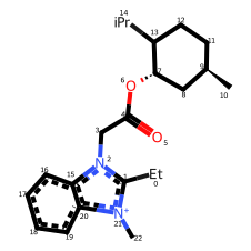 CCc1n(CC(=O)O[C@H]2C[C@H](C)CCC2C(C)C)c2ccccc2[n+]1C